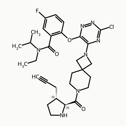 C#CC[C@H]1CCN[C@@H]1C(=O)N1CCC2(CC1)CN(c1nc(Cl)nnc1Oc1ccc(F)cc1C(=O)N(CC)C(C)C)C2